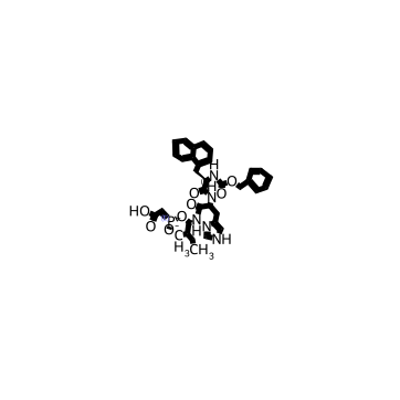 CCC(C)[C@@H](NC(=O)C(Cc1c[nH]cn1)NC(=O)[C@@H](Cc1cccc2ccccc12)NC(=O)OCc1ccccc1)O/[P+]([O-])=C/C(=O)O